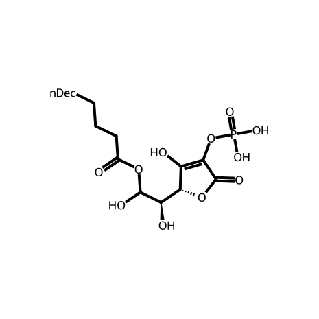 CCCCCCCCCCCCCC(=O)OC(O)[C@H](O)[C@H]1OC(=O)C(OP(=O)(O)O)=C1O